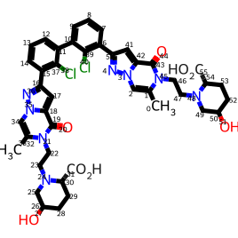 Cc1cn2nc(-c3cccc(-c4cccc(-c5cc6c(=O)n(CCN7CC(O)CCC7C(=O)O)c(C)cn6n5)c4Cl)c3Cl)cc2c(=O)n1CCN1CC(O)CCC1C(=O)O